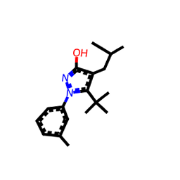 Cc1cccc(-n2nc(O)c(CC(C)C)c2C(C)(C)C)c1